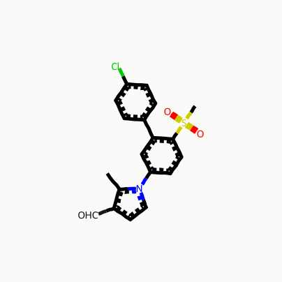 Cc1c(C=O)ccn1-c1ccc(S(C)(=O)=O)c(-c2ccc(Cl)cc2)c1